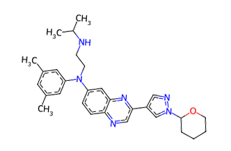 Cc1cc(C)cc(N(CCNC(C)C)c2ccc3ncc(-c4cnn(C5CCCCO5)c4)nc3c2)c1